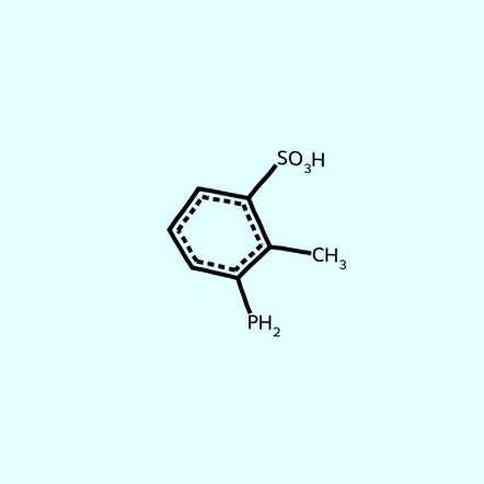 Cc1c(P)cccc1S(=O)(=O)O